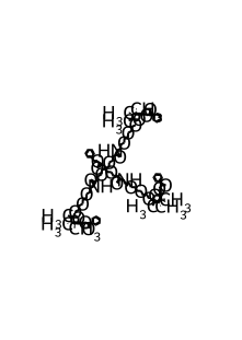 CC1[C@@H](OCCOCCOCCNC(=O)CCOCC(COCCC(=O)NCCOCCOCCO[C@H]2OC(COC(=O)c3ccccc3)[C@@H](C)[C@H](C)C2C)(COCCC(=O)NCCOCCOCCO[C@H]2OC(COC(=O)c3ccccc3)[C@@H](C)[C@H](C)C2C)CC(=O)OCc2ccccc2)OC(COC(=O)c2ccccc2)[C@@H](C)[C@@H]1C